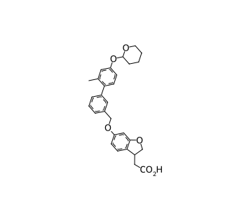 Cc1cc(OC2CCCCO2)ccc1-c1cccc(COc2ccc3c(c2)OCC3CC(=O)O)c1